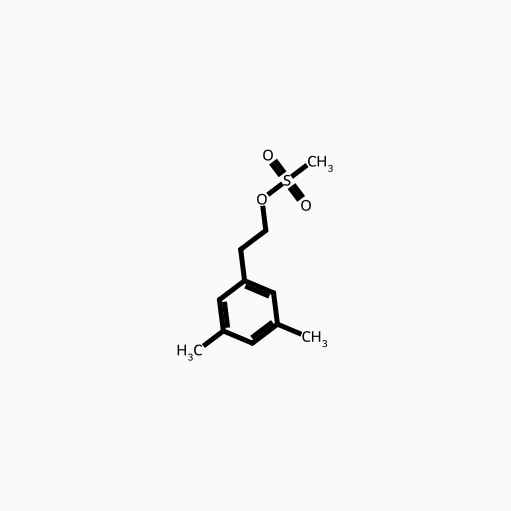 Cc1cc(C)cc(CCOS(C)(=O)=O)c1